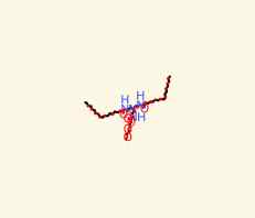 CCCCCCCC/C=C\CCCCCCCC(=O)NCCN(CCNC(=O)CCCCCCC/C=C\CCCCCCCC)CCNC(=O)OCCOCCOC